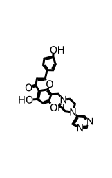 O=c1cc(-c2ccc(O)cc2)oc2c(CN3CCN(c4cncnc4)CC3)c(O)cc(O)c12